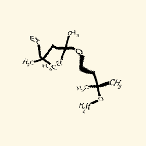 CCC(C)(C)CC(C)(CC)OCCC(C)(C)ON